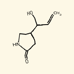 C=CC(O)C1CNC(=O)C1